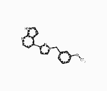 FC(F)(F)Oc1cccc(Cn2ccc(-c3ccnc4[nH]ccc34)n2)c1